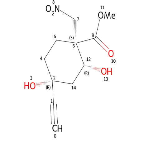 C#C[C@@]1(O)CC[C@@](C[N+](=O)[O-])(C(=O)OC)[C@H](O)C1